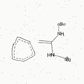 C=C(NCCCC)NCCCC.c1ccccc1